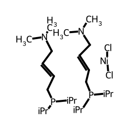 CC(C)P(CC=CCN(C)C)C(C)C.CC(C)P(CC=CCN(C)C)C(C)C.[Cl][Ni][Cl]